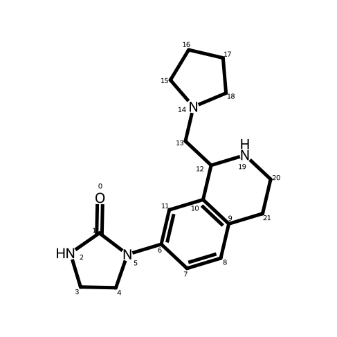 O=C1NCCN1c1ccc2c(c1)C(CN1CCCC1)NCC2